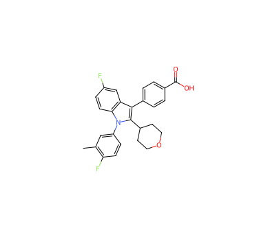 Cc1cc(-n2c(C3CCOCC3)c(-c3ccc(C(=O)O)cc3)c3cc(F)ccc32)ccc1F